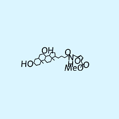 COC(=O)c1ccc(CNC(=O)CCCC2CCC3C4C(O)CC5C[C@H](O)CCC5(C)C4CCC23C)o1